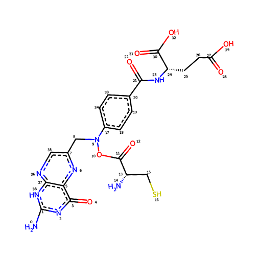 Nc1nc(=O)c2nc(CN(OC(=O)[C@@H](N)CS)c3ccc(C(=O)N[C@@H](CCC(=O)O)C(=O)O)cc3)cnc2[nH]1